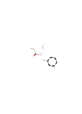 CCN[C@H](Cc1cccc(F)c1)C(=O)CC